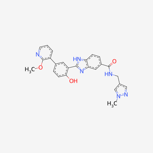 COc1ncccc1-c1ccc(O)c(-c2nc3cc(C(=O)NCc4cnn(C)c4)ccc3[nH]2)c1